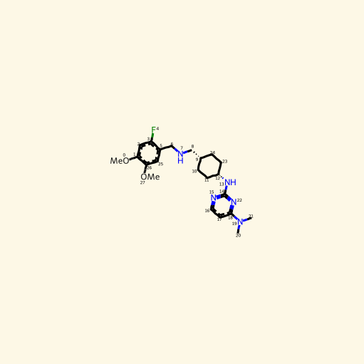 COc1cc(F)c(CNC[C@H]2CC[C@@H](Nc3nccc(N(C)C)n3)CC2)cc1OC